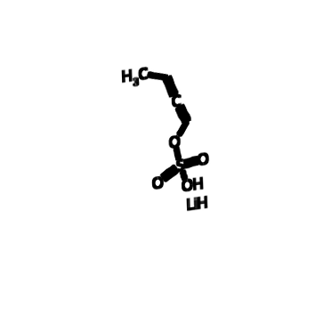 CC=C=COS(=O)(=O)O.[LiH]